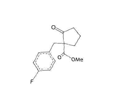 COC(=O)C1(Cc2ccc(F)cc2)CCCC1=O